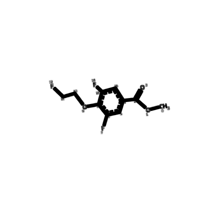 COC(=O)c1cc(F)c(OCCF)c(F)c1